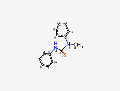 CN(C(=S)Nc1ccccc1)c1ccccc1